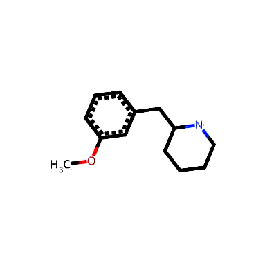 COc1cccc(CC2CCCC[N]2)c1